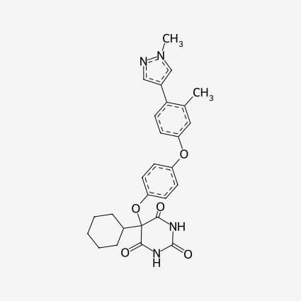 Cc1cc(Oc2ccc(OC3(C4CCCCC4)C(=O)NC(=O)NC3=O)cc2)ccc1-c1cnn(C)c1